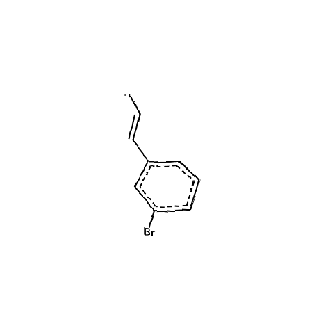 [CH2]C=Cc1cccc(Br)c1